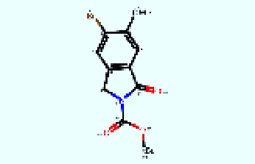 COc1cc2c(cc1Br)CN(C(=O)OC(C)(C)C)C2=O